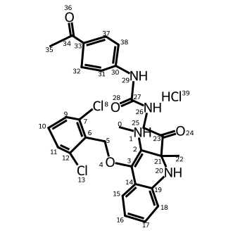 CNC1=C(OCc2c(Cl)cccc2Cl)c2ccccc2NC1(C)C(=O)CNC(=O)Nc1ccc(C(C)=O)cc1.Cl